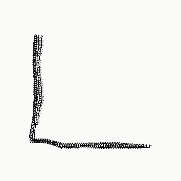 [Au].[Au].[Au].[Au].[Au].[Au].[Au].[Au].[Au].[Au].[Au].[Au].[Au].[Au].[Au].[Au].[Au].[Au].[Au].[Au].[Au].[Au].[Au].[Au].[Au].[Au].[Au].[Au].[Au].[Au].[Au].[Au].[Au].[Au].[Au].[Au].[Au].[Au].[Au].[Au].[Au].[Au].[Au].[Au].[Au].[Au].[Au].[Au].[Au].[Au].[Au].[Au].[Au].[Au].[Au].[Au].[Au].[Au].[Au].[Au].[Au].[Au].[Au].[Au].[Au].[Au].[Au].[Au].[Au].[Au].[Au].[Au].[Au].[Au].[Au].[Au].[Au].[Au].[Au].[Au].[Au].[Au].[Ni].[Ni].[Ni].[Ni].[Ni].[Ni].[Ni].[Ni].[Ni].[Ni].[Ni].[Ni].[Ni].[Ni].[Ni].[Ni].[Ni].[Ni]